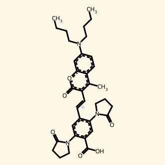 CCCCN(CCCC)c1ccc2c(C)c(/C=C/c3cc(N4CCCC4=O)c(C(=O)O)cc3N3CCCC3=O)c(=O)oc2c1